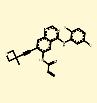 C=CC(=O)Nc1cc2c(Nc3cc(Cl)ccc3F)ncnc2cc1C#CC1(C)COC1